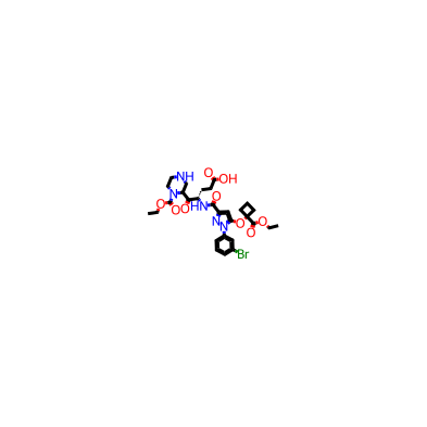 CCOC(=O)N1CCNCC1C(=O)[C@H](CCC(=O)O)NC(=O)c1cc(OC2(C(=O)OCC)CCC2)n(-c2cccc(Br)c2)n1